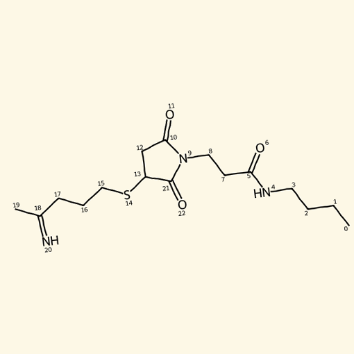 CCCCNC(=O)CCN1C(=O)CC(SCCCC(C)=N)C1=O